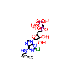 CCCCCCCCCCCCNc1nc(Cl)nc2c1ncn2[C@@H]1O[C@H](CCP(=O)(O)CP(=O)(O)O)C(O)[C@@H]1O